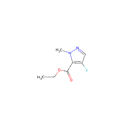 CCOC(=O)c1c(F)cnn1C